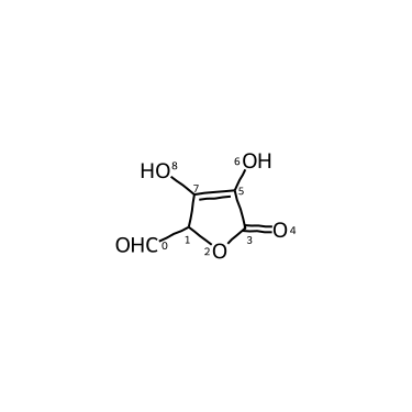 O=CC1OC(=O)C(O)=C1O